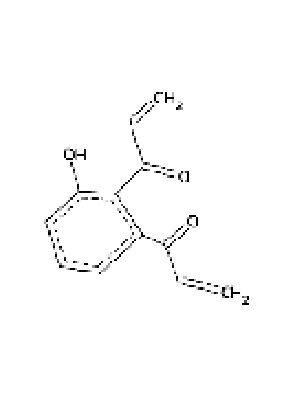 C=CC(=O)c1cccc(O)c1C(=O)C=C